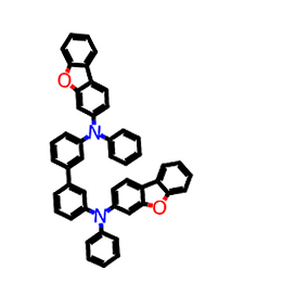 c1ccc(N(c2cccc(-c3cccc(N(c4ccccc4)c4ccc5c(c4)oc4ccccc45)c3)c2)c2ccc3c(c2)oc2ccccc23)cc1